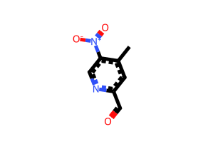 Cc1cc(C=O)ncc1[N+](=O)[O-]